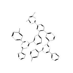 Cc1cccc(-c2nc(-c3ccccc3)nc(-c3cccc(-c4ccc(-c5nc(C)cc(C)n5)cc4-c4cccc(-c5nc(-c6ccccc6)nc(-c6cccc(C)c6)n5)c4)c3)n2)c1